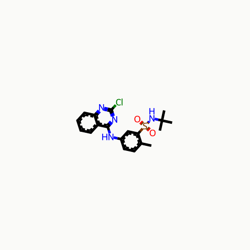 Cc1ccc(Nc2nc(Cl)nc3ccccc23)cc1S(=O)(=O)NC(C)(C)C